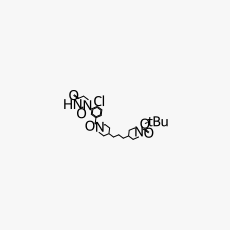 CC(C)(C)OC(=O)N1CCC(CCCC2CCN(C(=O)c3ccc(Cl)c(N4CCC(=O)NC4=O)c3)CC2)CC1